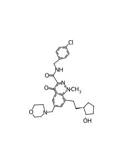 Cn1nc(C(=O)NCc2ccc(Cl)cc2)c(=O)c2cc(CN3CCOCC3)cc(CC[C@H]3CCC[C@@H]3O)c21